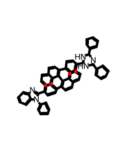 c1ccc(C2=NC(c3ccccc3)NC(c3ccc(-c4ccc5ccccc5c4-c4c(-c5ccc(-c6nc7ccccc7n6-c6ccccc6)cc5)ccc5ccccc45)cc3)N2)cc1